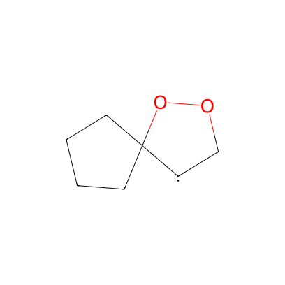 [CH]1COOC12CCCC2